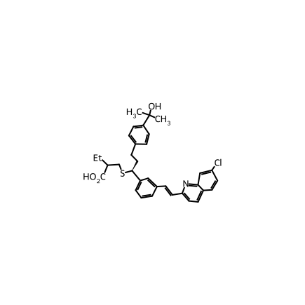 CCC(CS[C@@H](CCc1ccc(C(C)(C)O)cc1)c1cccc(C=Cc2ccc3ccc(Cl)cc3n2)c1)C(=O)O